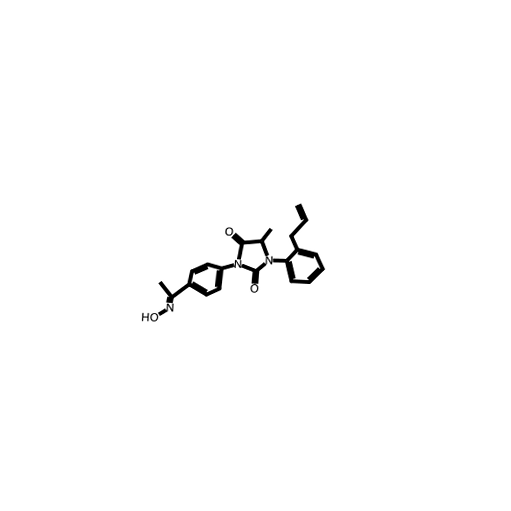 C=CCc1ccccc1N1C(=O)N(c2ccc(C(C)=NO)cc2)C(=O)C1C